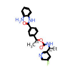 CC[C@H](NC(=O)O[C@@H](C)c1ccc(C(=O)Nc2ccccc2N)cc1)c1cncc(F)c1